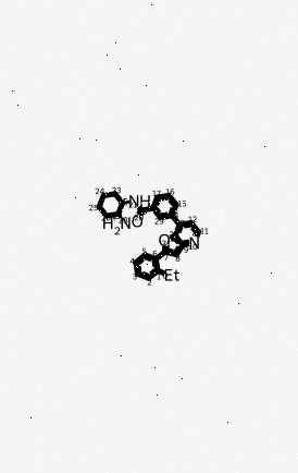 CCc1ccccc1-c1cc2nccc(-c3cccc(C(=O)N[C@@H]4CCCC[C@@H]4N)c3)c2o1